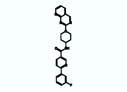 O=C(NC1CCN(c2ncc3cccnc3n2)CC1)c1ccc(-c2cccc(F)c2)nc1